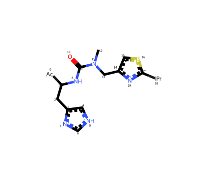 CC(=O)C(Cc1c[nH]cn1)NC(=O)N(C)Cc1csc(C(C)C)n1